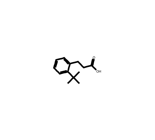 CC(C)(C)c1ccccc1CCC(=O)O